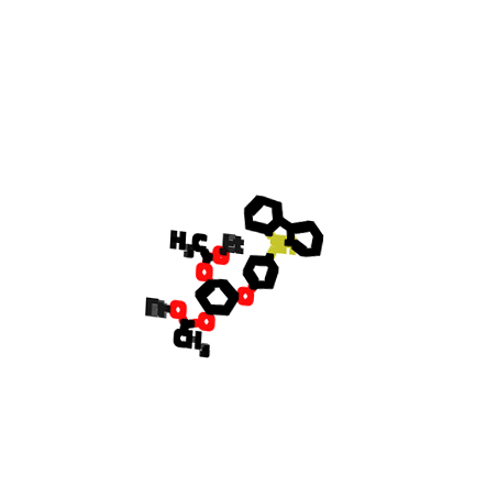 CCOC(C)Oc1cc(Oc2ccc([SH]3c4ccccc4-c4ccccc43)cc2)cc(OC(C)OCC)c1